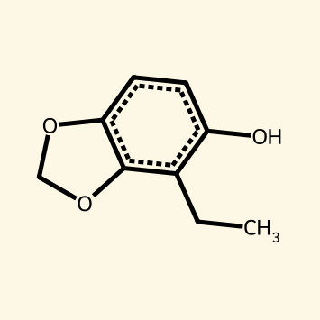 CCc1c(O)ccc2c1OCO2